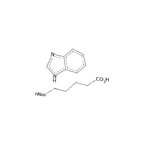 CCCCCCCCCCCCCC(=O)O.c1ccc2[nH]cnc2c1